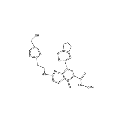 CONC(=O)c1cn(-c2ccc3c(c2)CCC3)c2nc(NCCc3ccc(CO)cc3)ncc2c1=O